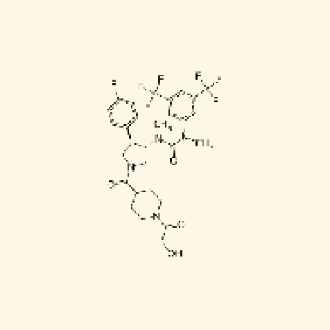 CN(C(=O)N(C)[C@@H]1CN(C(=O)C2CCN(C(=O)CO)CC2)C[C@H]1c1ccc(F)cc1)c1cc(C(F)(F)F)cc(C(F)(F)F)c1